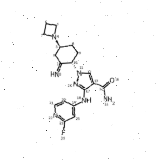 N=C1C[C@@H](N2CCC2)CC[C@@H]1n1cc(C(N)=O)c(Nc2ccnc(F)c2)n1